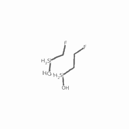 O[SiH2]CCF.O[SiH2]CF